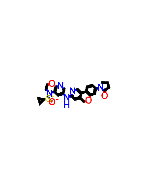 O=C1CCCN1c1ccc2c(c1)OCc1cc(Nc3cnc4c(c3)N([S+]([O-])C3CC3)CCO4)ncc1-2